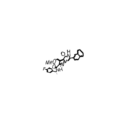 COCc1c(C(=O)N[C@H](C)c2ccc(F)cc2)nn2cc(-c3ccc4ccccc4c3)[nH]c(=O)c12